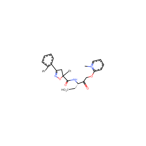 CCC1(C(=O)N[C@@H](CC(=O)O)C(=O)COc2cccc[n+]2C)CC(c2ccccc2C(C)C)=NO1